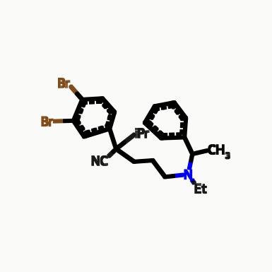 CCN(CCCC(C#N)(c1ccc(Br)c(Br)c1)C(C)C)C(C)c1ccccc1